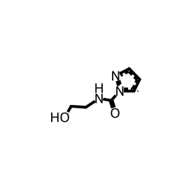 O=C(NCCO)n1[c]ccn1